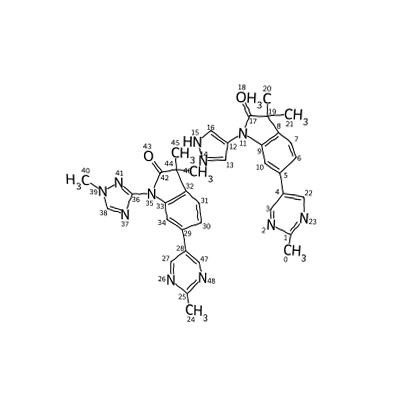 Cc1ncc(-c2ccc3c(c2)N(c2cn[nH]c2)C(=O)C3(C)C)cn1.Cc1ncc(-c2ccc3c(c2)N(c2ncn(C)n2)C(=O)C3(C)C)cn1